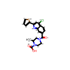 CC1CN(C(=O)c2ccc3c(Cl)cc(-c4cccs4)nc3c2)CCN1C(=O)O